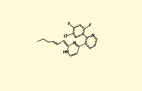 CCC/C=C/C=C1/N=C(c2cccnc2-c2cc(Cl)c(F)cc2F)C=CN1